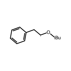 CCC(C)O[CH]Cc1ccccc1